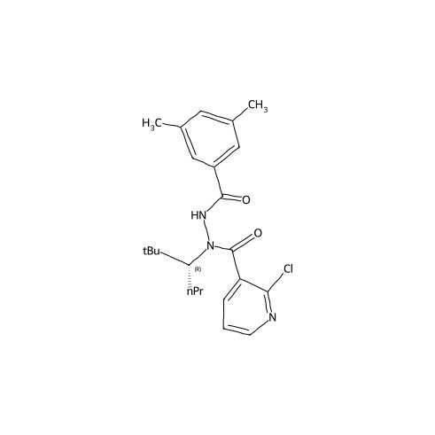 CCC[C@@H](N(NC(=O)c1cc(C)cc(C)c1)C(=O)c1cccnc1Cl)C(C)(C)C